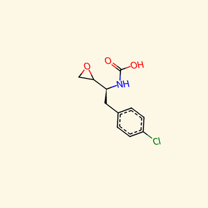 O=C(O)N[C@@H](Cc1ccc(Cl)cc1)C1CO1